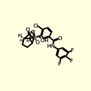 O=C(Nc1cc(F)c(F)c(F)c1)c1ccc(Cl)c(S(=O)(=O)[C@@H]2C3CC[C@H]2C(=O)[C@@H]3CO)c1